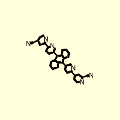 N#Cc1ccnc(-c2ccc(-c3c4ccccc4c(-c4ccc(-c5ccnc(C#N)c5)nc4)c4ccccc34)cn2)c1